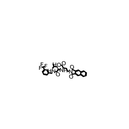 CC(C)C[C@@H](NC(CCN1C(=O)c2cc3ccccc3cc2C1=O)C(=O)O)C(=O)NCc1cccc(C(F)(F)F)c1